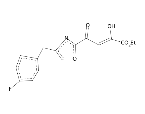 CCOC(=O)C(O)=CC(=O)c1nc(Cc2ccc(F)cc2)co1